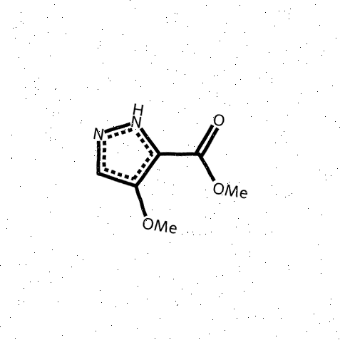 COC(=O)c1[nH]ncc1OC